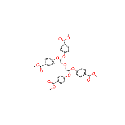 COC(=O)c1ccc(OC(COCC(Oc2ccc(C(=O)OC)cc2)Oc2ccc(C(=O)OC)cc2)Oc2ccc(C(=O)OC)cc2)cc1